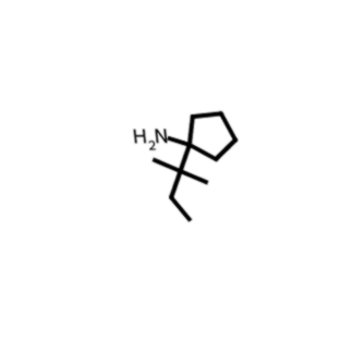 CCC(C)(C)C1(N)CCCC1